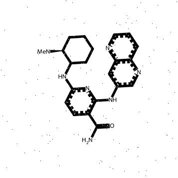 CN[C@H]1CCCCC1Nc1ccc(C(N)=O)c(Nc2cnc3cccnc3c2)n1